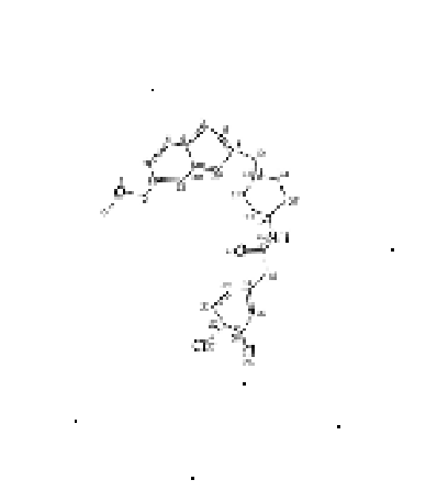 COCc1ccc2ccc(CN3CCC(NC(=O)Cc4ccc(Cl)c(Cl)c4)CC3)cc2c1